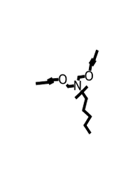 CC#COCN(COC#CC)C(C)(C)CCCCC